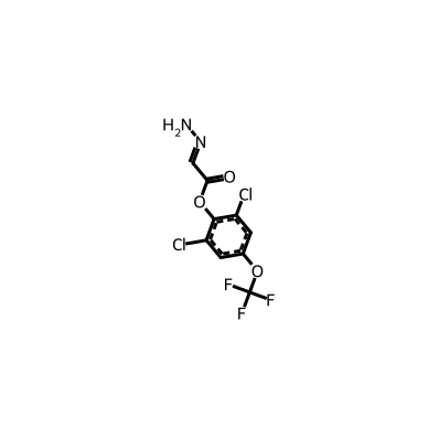 NN=CC(=O)Oc1c(Cl)cc(OC(F)(F)F)cc1Cl